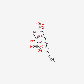 CCCCCCCCCCCCOS(=O)(=O)O.O=C(O)C(O)C(O)C(O)C(O)CO